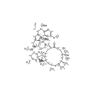 CC[C@H]1OC(=O)[C@H](C)[C@@H](C2C[C@@](C)(OC)C[C@H](C)O2)[C@H](C)[C@](C)(C[C@]2(O)C[C@@H](N(C)CCc3cn([C@H](CF)[C@H](OC)c4ccc(CCl)cc4)nn3)C[C@@H](C)O2)[C@](C)(O)C[C@@H](C)CN(C)[C@H](C)[C@@H](O)[C@]1(C)O